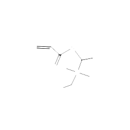 C=CC(=O)NC(C)[N+](C)(C)CC